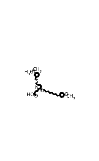 COc1ccc(CCCCCCCCOc2ccc(CSCc3cccc(N(C)C)c3)nc2C=CC(=O)O)cc1